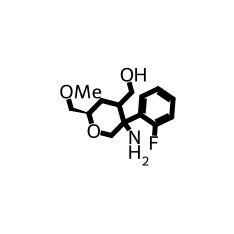 COC[C@H]1CC(CO)C(N)(c2ccccc2F)CO1